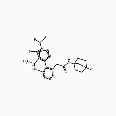 C[C@@H](Nc1ncnc(CC(=O)NC23CCC(F)(CC2)CC3)c1C1OCCO1)c1cccc(C(F)F)c1F